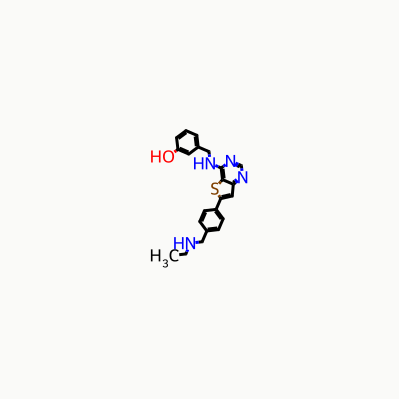 CCNCc1ccc(-c2cc3ncnc(NCc4cccc(O)c4)c3s2)cc1